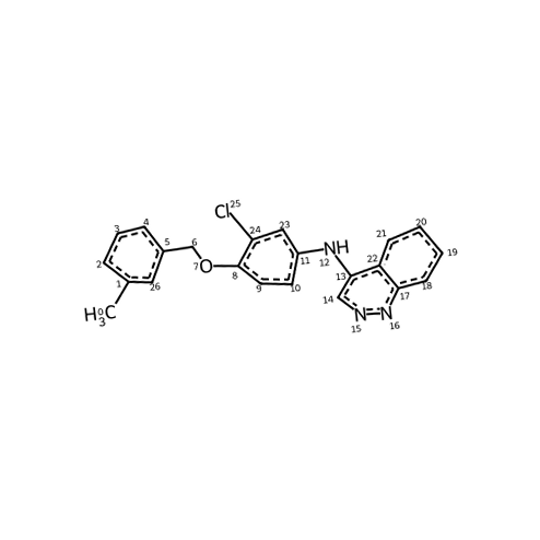 Cc1cccc(COc2ccc(Nc3cnnc4ccccc34)cc2Cl)c1